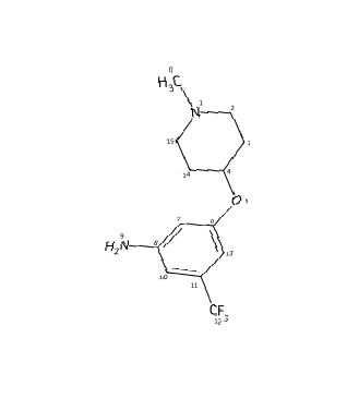 CN1CCC(Oc2cc(N)cc(C(F)(F)F)c2)CC1